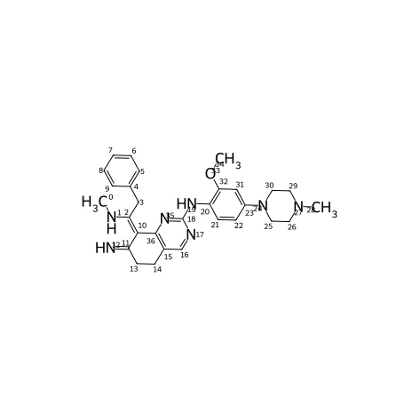 CN/C(Cc1ccccc1)=C1\C(=N)CCc2cnc(Nc3ccc(N4CCN(C)CC4)cc3OC)nc21